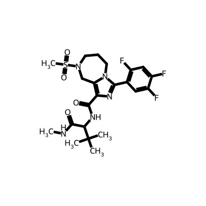 CNC(=O)C(NC(=O)c1nc(-c2cc(F)c(F)cc2F)n2c1CN(S(C)(=O)=O)CCC2)C(C)(C)C